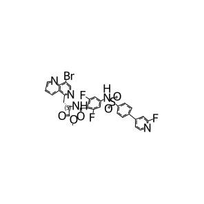 COC(=O)[C@H](Cc1ncc(Br)c2ncccc12)NC(=O)c1c(F)cc(NS(=O)(=O)c2ccc(-c3ccnc(F)c3)cc2)cc1F